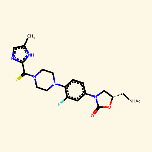 CC(=O)NC[C@H]1CN(c2ccc(N3CCN(C(=S)c4ncc(C)[nH]4)CC3)c(F)c2)C(=O)O1